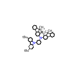 CC(C)(C)c1ccc2c(c1)c1c(n2-c2cccc(N(c3ccc4c(c3)C(C)(C)c3ccccc3-4)c3ccc4c(c3)C(C)(C)c3ccccc3-4)c2)C=CC(C(C)(C)C)C1